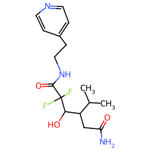 CC(C)C(CC(N)=O)C(O)C(F)(F)C(=O)NCCc1ccncc1